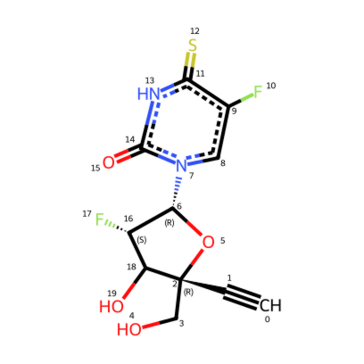 C#C[C@]1(CO)O[C@@H](n2cc(F)c(=S)[nH]c2=O)[C@@H](F)C1O